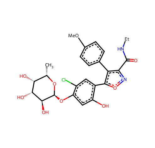 CCNC(=O)c1noc(-c2cc(Cl)c(O[C@@H]3O[C@@H](C)[C@@H](O)[C@@H](O)[C@@H]3O)cc2O)c1-c1ccc(OC)cc1